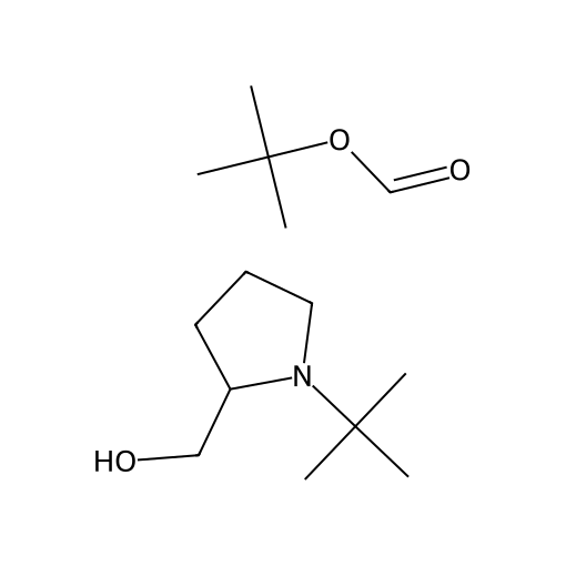 CC(C)(C)N1CCCC1CO.CC(C)(C)OC=O